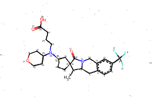 CC1C2Cc3ccc(C(F)(F)F)cc3CN2C(=O)[C@]12CC[C@@H](N(CCCC(=O)O)C1CCOCC1)C2